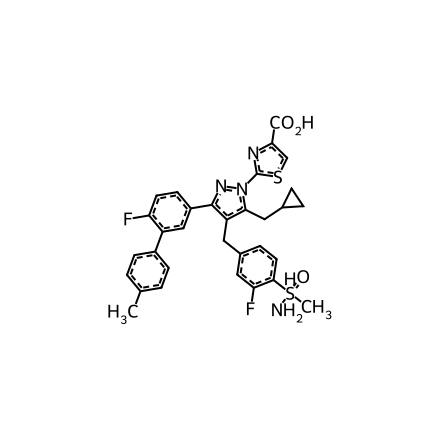 Cc1ccc(-c2cc(-c3nn(-c4nc(C(=O)O)cs4)c(CC4CC4)c3Cc3ccc([SH](C)(N)=O)c(F)c3)ccc2F)cc1